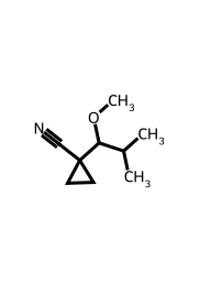 COC(C(C)C)C1(C#N)CC1